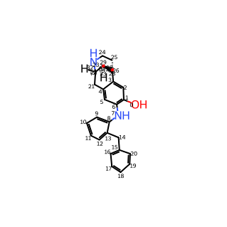 Oc1cc2c(cc1Nc1ccccc1Cc1ccccc1)C[C@@H]1NCC[C@]23CCCC[C@H]13